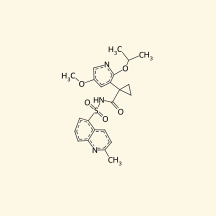 COc1cnc(OC(C)C)c(C2(C(=O)NS(=O)(=O)c3cccc4nc(C)ccc34)CC2)c1